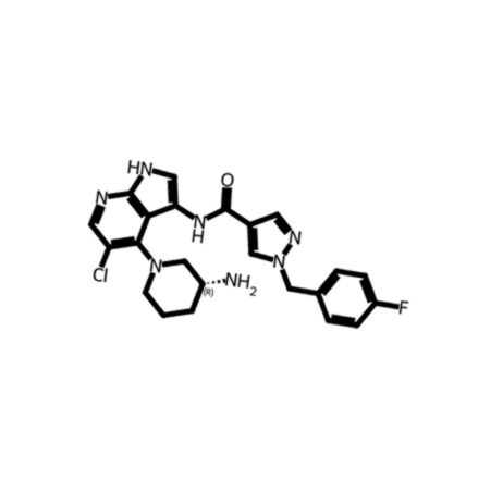 N[C@@H]1CCCN(c2c(Cl)cnc3[nH]cc(NC(=O)c4cnn(Cc5ccc(F)cc5)c4)c23)C1